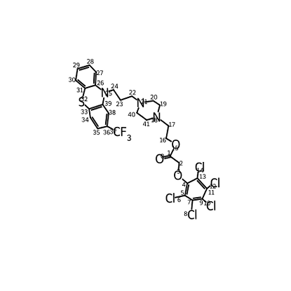 O=C(COc1c(Cl)c(Cl)c(Cl)c(Cl)c1Cl)OCCN1CCN(CCCN2c3ccccc3Sc3ccc(C(F)(F)F)cc32)CC1